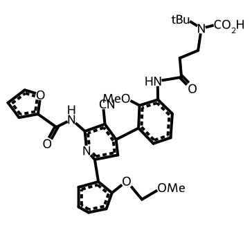 COCOc1ccccc1-c1cc(-c2cccc(NC(=O)CCN(C(=O)O)C(C)(C)C)c2OC)c(C#N)c(NC(=O)c2ccco2)n1